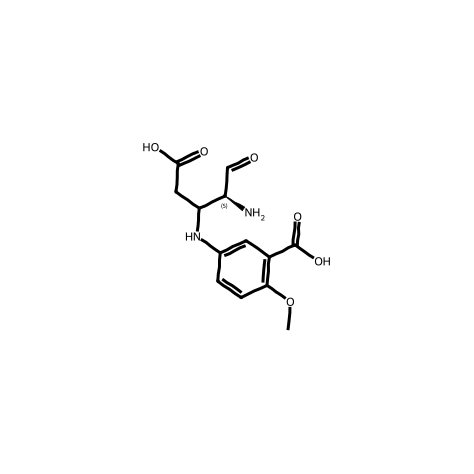 COc1ccc(NC(CC(=O)O)[C@H](N)C=O)cc1C(=O)O